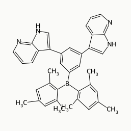 Cc1cc(C)c(B(c2cc(-c3c[nH]c4ncccc34)cc(-c3c[nH]c4ncccc34)c2)c2c(C)cc(C)cc2C)c(C)c1